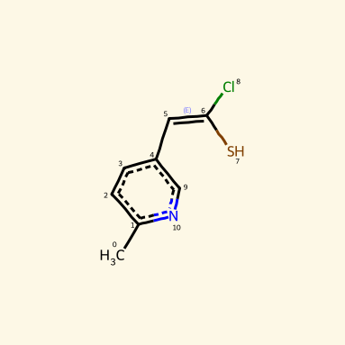 Cc1ccc(/C=C(\S)Cl)cn1